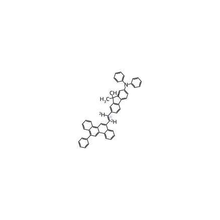 [2H]/C(=C(/[2H])c1cc2c3ccccc3c(-c3ccccc3)cc2c2ccccc12)c1ccc2c(c1)C(C)(C)c1cc(N(c3ccccc3)c3ccccc3)ccc1-2